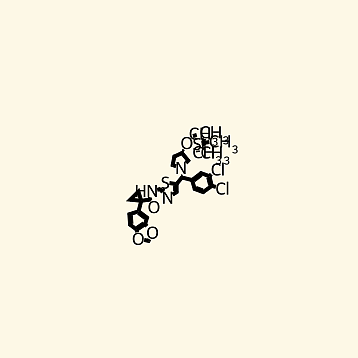 CC(C)(C)[Si](C)(C)O[C@@H]1CCN([C@H](c2ccc(Cl)c(Cl)c2)c2cnc(NC(=O)C3(c4ccc5c(c4)OCO5)CC3)s2)C1